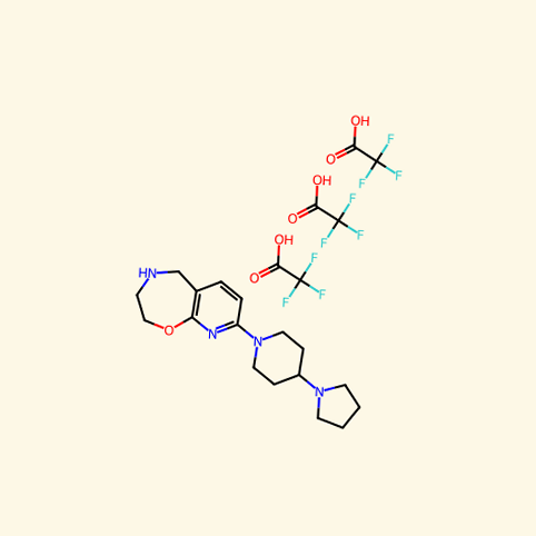 O=C(O)C(F)(F)F.O=C(O)C(F)(F)F.O=C(O)C(F)(F)F.c1cc2c(nc1N1CCC(N3CCCC3)CC1)OCCNC2